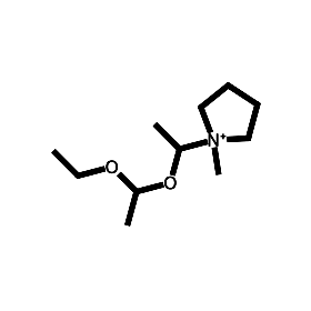 CCOC(C)OC(C)[N+]1(C)CCCC1